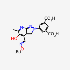 Cc1nc2nn(-c3cc(C(=O)O)cc(C(=O)O)c3)cc2c(/C=N/OC(C)(C)C)c1O